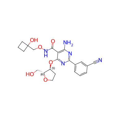 N#Cc1cccc(-c2nc(N)c(C(=O)NOCC3(O)CCC3)c(O[C@H]3CCO[C@@H]3CO)n2)c1